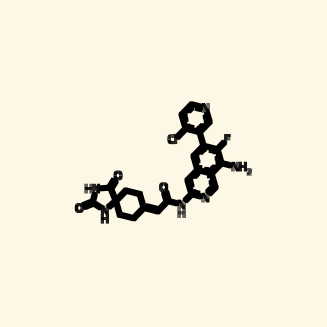 Nc1c(F)c(-c2cnccc2Cl)cc2cc(NC(=O)C=C3CCC4(CC3)NC(=O)NC4=O)ncc12